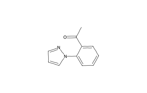 CC(=O)c1ccccc1-n1cccn1